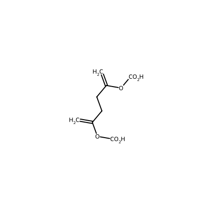 C=C(CCC(=C)OC(=O)O)OC(=O)O